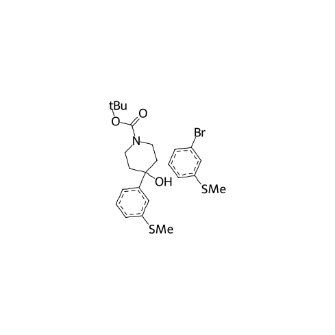 CSc1cccc(Br)c1.CSc1cccc(C2(O)CCN(C(=O)OC(C)(C)C)CC2)c1